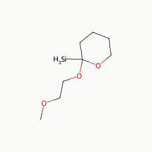 COCCOC1([SiH3])CCCCO1